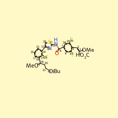 COC(=Cc1c(F)cc(C(=O)Nc2nc(-c3cccc(C(CCOCC(C)C)OC)c3F)cs2)cc1F)C(=O)O